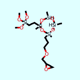 CO[Si](CC[Si]1(C)O[SiH](C)O[SiH](C)O[Si](C)(CCCOCC2CO2)O1)(OC)OC